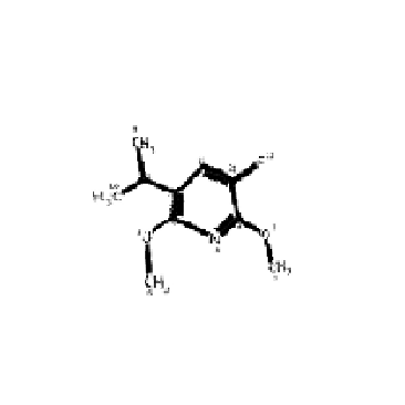 COc1nc(OC)c(C(C)C)cc1F